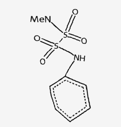 CNS(=O)(=O)S(=O)(=O)Nc1ccccc1